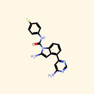 Nc1cc(-c2cccc3c2cc(N)n3C(=O)Nc2ccc(F)cc2)ncn1